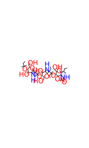 CC/C(C)=C1\OC(CO)C(OC(C)(CC)C2(CC)NC3C(O)C(OC(C)(CC)C4(CC)NC5C(O)C(OC(C)(C)CC)C(CO)OC54)C(CO)OC32)C(O)C1NC(C)=O